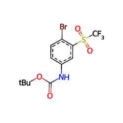 CC(C)(C)OC(=O)Nc1ccc(Br)c(S(=O)(=O)C(F)(F)F)c1